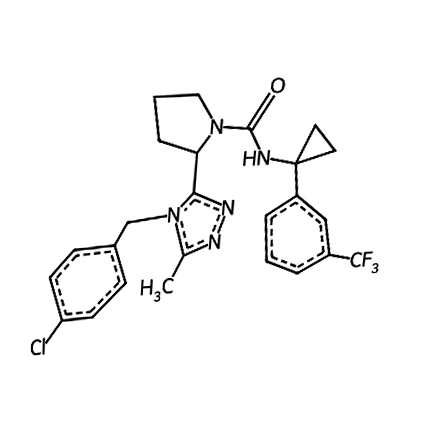 Cc1nnc(C2CCCN2C(=O)NC2(c3cccc(C(F)(F)F)c3)CC2)n1Cc1ccc(Cl)cc1